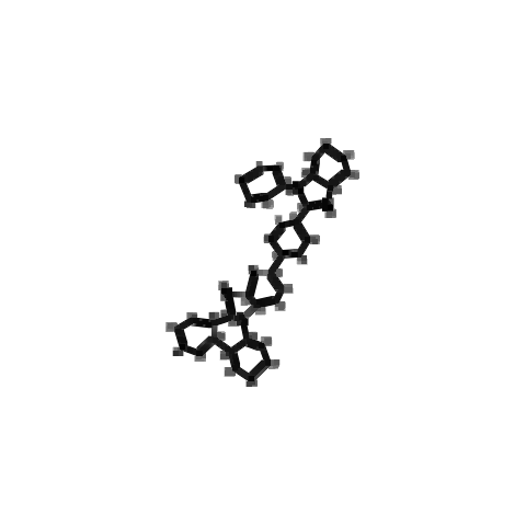 c1ccc(-n2c(-c3ccc(-c4ccc5c(c4)nc4c6ccccc6c6ccccc6n54)cc3)nc3ccccc32)cc1